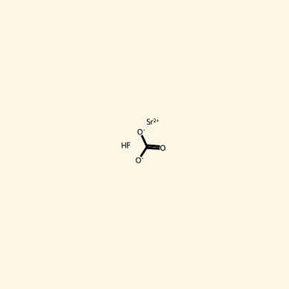 F.O=C([O-])[O-].[Sr+2]